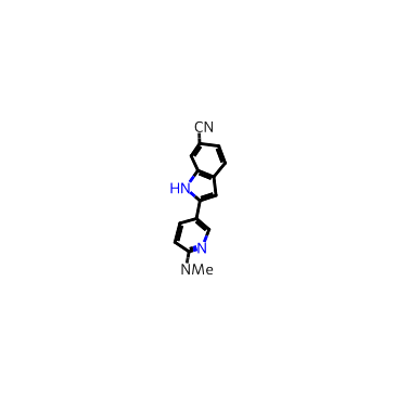 CNc1ccc(-c2cc3ccc(C#N)cc3[nH]2)cn1